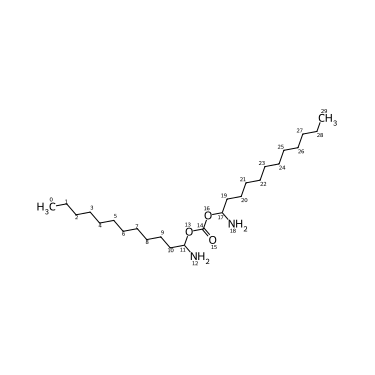 CCCCCCCCCCCC(N)OC(=O)OC(N)CCCCCCCCCCC